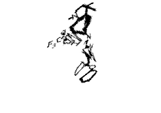 CN1CCC(C)(C)c2cc(N=Nc3nnc(C(=O)OC4CCCC4)s3)c(NS(=O)(=O)C(F)(F)F)cc21